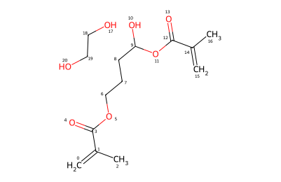 C=C(C)C(=O)OCCCC(O)OC(=O)C(=C)C.OCCO